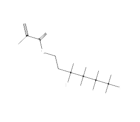 C=C(C)C(=O)NCCC(F)(F)C(F)(F)C(F)(F)C(F)(F)F